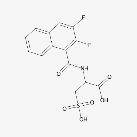 O=C(NC(CS(=O)(=O)O)C(=O)O)c1c(F)c(F)cc2ccccc12